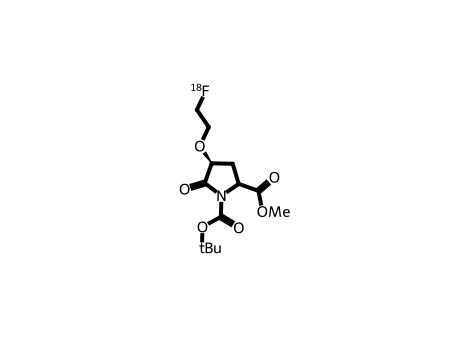 COC(=O)C1C[C@H](OCC[18F])C(=O)N1C(=O)OC(C)(C)C